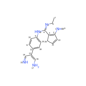 C=NC1=C(/C(=N\CC)Nc2ccc(/C(C=N)=C/N)cc2)CC=C1